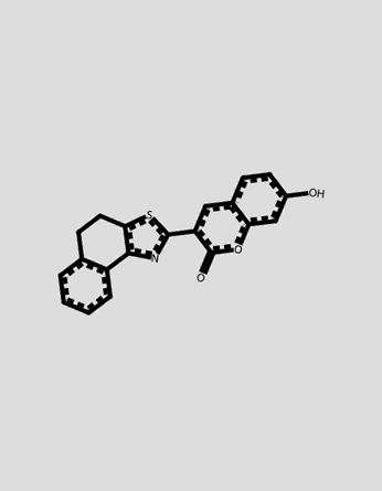 O=c1oc2cc(O)ccc2cc1-c1nc2c(s1)CCc1ccccc1-2